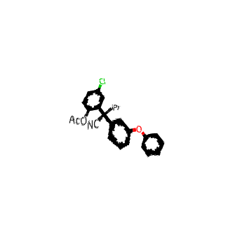 CC(=O)Oc1ccc(Cl)cc1C(C#N)(c1cccc(Oc2ccccc2)c1)C(C)C